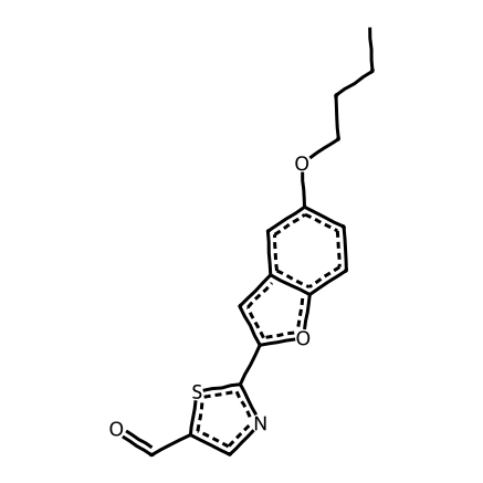 CCCCOc1ccc2oc(-c3ncc(C=O)s3)cc2c1